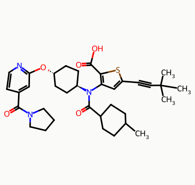 CC1CCC(C(=O)N(c2cc(C#CC(C)(C)C)sc2C(=O)O)[C@H]2CC[C@H](Oc3cc(C(=O)N4CCCC4)ccn3)CC2)CC1